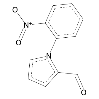 O=Cc1cccn1-c1ccccc1[N+](=O)[O-]